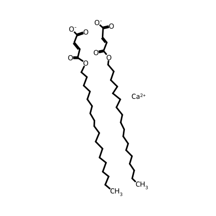 CCCCCCCCCCCCCCCCCCOC(=O)C=CC(=O)[O-].CCCCCCCCCCCCCCCCCCOC(=O)C=CC(=O)[O-].[Ca+2]